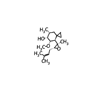 CO[C@@H]1[C@H](O)[C@H](C)CC2(CC2)[C@H]1[C@@]1(C)O[C@@H]1CC=C(C)C